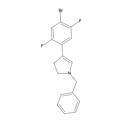 Fc1cc(C2=CN(Cc3ccccc3)CC2)c(F)cc1Br